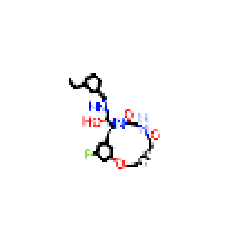 CCc1cccc(CNC[C@@H](O)[C@@H]2Cc3cc(F)cc(c3)OCCCCCC(=O)NCC(=O)N2)c1